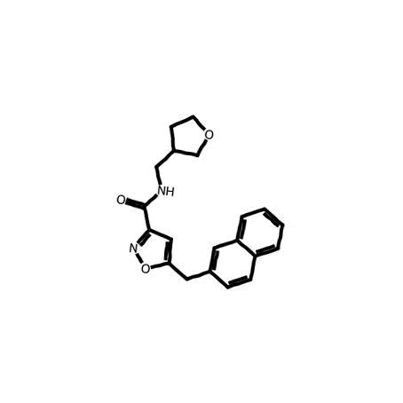 O=C(NCC1CCOC1)c1cc(Cc2ccc3ccccc3c2)on1